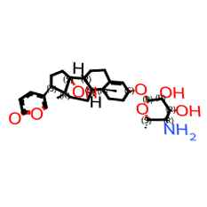 C[C@@H]1O[C@@H](O[C@@H]2C=C3CC[C@@H]4[C@H](CC[C@]5(C)[C@@H](c6ccc(=O)oc6)CC[C@]45O)[C@@]3(C)CC2)[C@H](O)[C@H](O)[C@H]1N